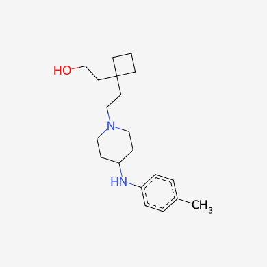 Cc1ccc(NC2CCN(CCC3(CCO)CCC3)CC2)cc1